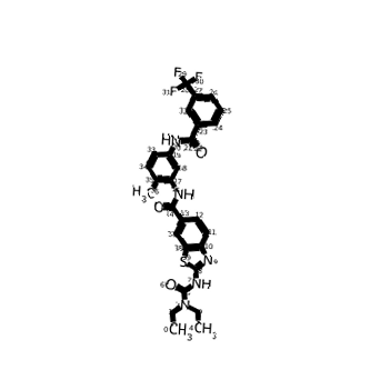 CCN(CC)C(=O)Nc1nc2ccc(C(=O)Nc3cc(NC(=O)c4cccc(C(F)(F)F)c4)ccc3C)cc2s1